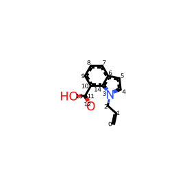 C=CCn1ccc2cccc(C(=O)O)c21